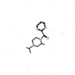 CC(C)N1CCN(C(=O)c2ncccn2)C(C)C1